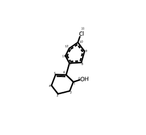 OC1CCCC=C1c1ccc(Cl)cc1